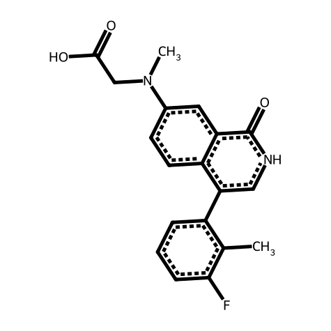 Cc1c(F)cccc1-c1c[nH]c(=O)c2cc(N(C)CC(=O)O)ccc12